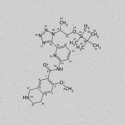 COc1cc2c(cc1C(=O)Nc1cccc(-c3nnnn3C(C)CO[Si](C)(C)C(C)(C)C)n1)CNCC2